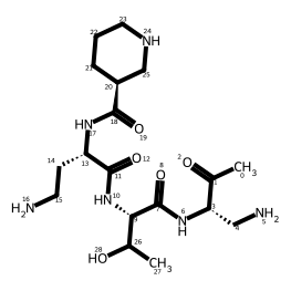 CC(=O)[C@H](CN)NC(=O)[C@@H](NC(=O)[C@H](CCN)NC(=O)[C@H]1CCCNC1)C(C)O